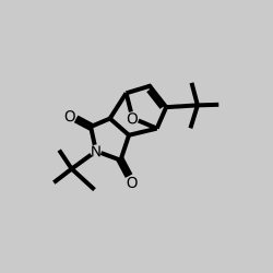 CC(C)(C)C1=CC2OC1C1C(=O)N(C(C)(C)C)C(=O)C21